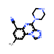 Cc1cc(C#N)c2nc(N3CCNCC3)c3nncn3c2c1